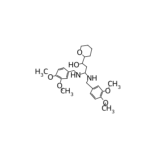 COc1ccc(CNC(CC(O)C2CCCCO2)NCc2ccc(OC)c(OC)c2)cc1OC